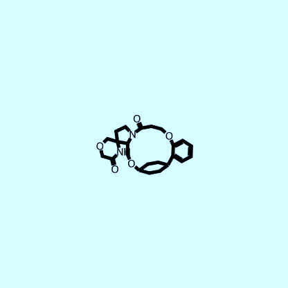 O=C1COCC2(CCN3C(=O)CCOc4ccccc4C4CCC(CC4)OCC32)N1